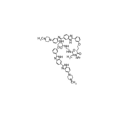 CCCN(C(=O)CCCOc1cccc(-c2nc3ccc(-c4nc5cc(N6CCN(C)CC6)ccc5[nH]4)cc3[nH]2)c1)[C@H](C)C(=O)NCCNC(=O)CCCOc1cccc(-c2nc3ccc(-c4nc5cc(N6CCN(C)CC6)ccc5[nH]4)cc3[nH]2)c1